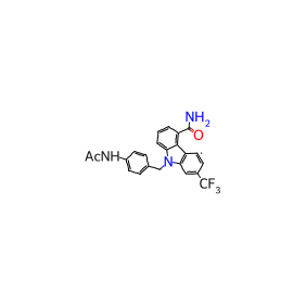 CC(=O)Nc1ccc(Cn2c3cc(C(F)(F)F)c[c]c3c3c(C(N)=O)cccc32)cc1